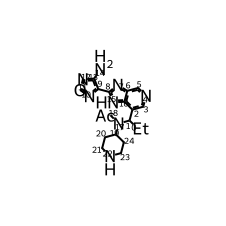 CCC(c1cncc2nc(-c3nonc3N)[nH]c12)N(C(C)=O)C1CCNCC1